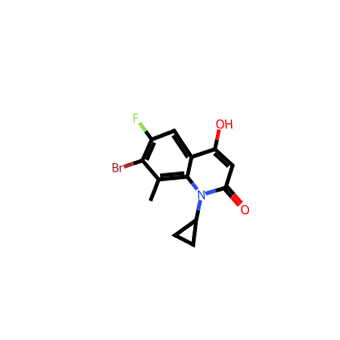 Cc1c(Br)c(F)cc2c(O)cc(=O)n(C3CC3)c12